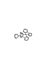 c1ccc(-c2ncc3c(n2)-c2ccccc2C32c3ccccc3-c3ccccc32)cc1